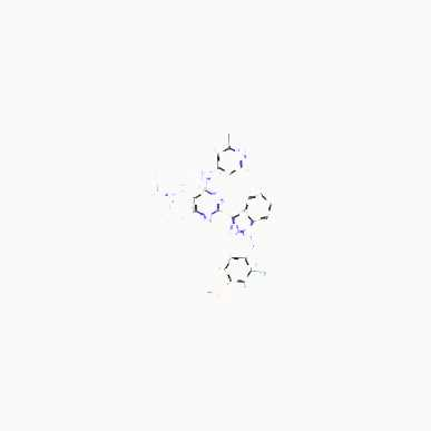 CCOc1cc(F)c(Cn2nc(-c3nc4c(c(Nc5ccnc(C)c5)n3)CN(CC)CC4)c3ccccc32)c(F)c1